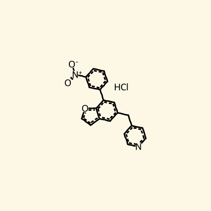 Cl.O=[N+]([O-])c1cccc(-c2cc(Cc3ccncc3)cc3ccoc23)c1